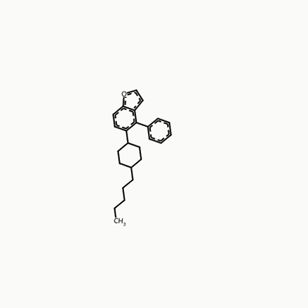 CCCCCC1CCC(c2ccc3occc3c2-c2ccccc2)CC1